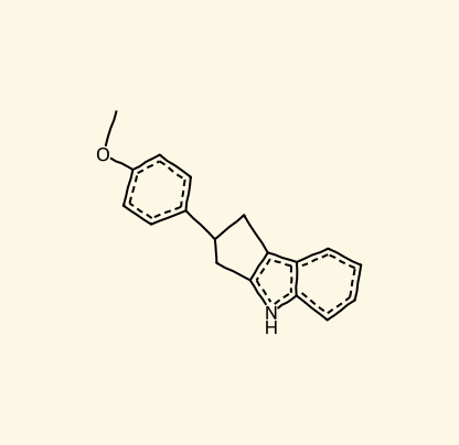 COc1ccc(C2Cc3[nH]c4ccccc4c3C2)cc1